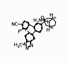 Cn1nnc2cc(-c3ccc(C(=O)N4[C@@H]5CC[C@H]4C[C@@H](N)C5)cc3-c3ccc(C#N)c(F)c3)c(F)cc21